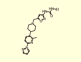 CCNC(=O)Nc1cc(CN2CCC(c3ccc(-n4cccn4)nc3C)CC2)on1